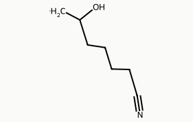 [CH2]C(O)CCCCC#N